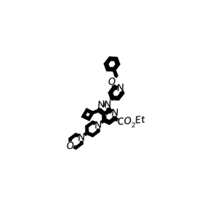 CCOC(=O)c1cc(N2CCC(N3CCOCC3)CC2)c2c(C3CCC3)nn(-c3ccnc(OCc4ccccc4)c3)c2n1